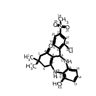 CC1(C)CC(=O)C2=C(C1)Nc1c(O)cccc1NC2c1ccc(S(C)(=O)=O)cc1Cl